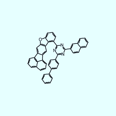 c1ccc(-c2ccc(-c3nc(-c4ccc5ccccc5c4)nc(-c4cccc5oc6cc7c(cc6c45)-c4cccc5cccc-7c45)n3)cc2)cc1